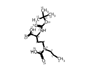 CCCN(CCC(NC(=O)OC(C)(C)C)C(=O)O)C(=O)O